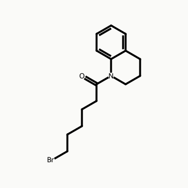 O=C(CCCCCBr)N1CCCc2ccccc21